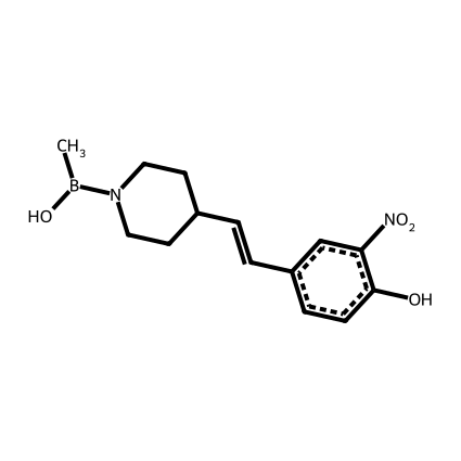 CB(O)N1CCC(C=Cc2ccc(O)c([N+](=O)[O-])c2)CC1